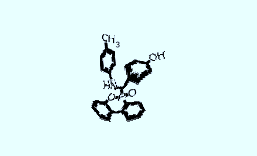 Cc1ccc(NC(c2ccc(O)cc2)P2(=O)Oc3ccccc3-c3ccccc32)cc1